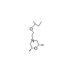 CCC(C)OCCN1C[C@@H](C)O[C@@H](C)C1